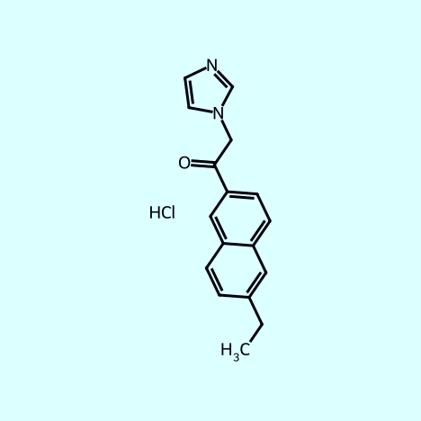 CCc1ccc2cc(C(=O)Cn3ccnc3)ccc2c1.Cl